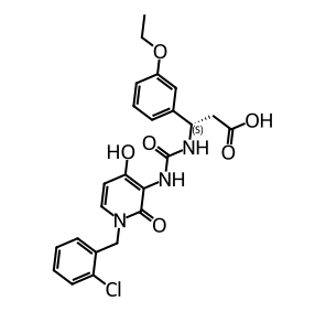 CCOc1cccc([C@H](CC(=O)O)NC(=O)Nc2c(O)ccn(Cc3ccccc3Cl)c2=O)c1